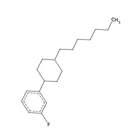 CCCCCCCC1CCC(c2cccc(F)c2)CC1